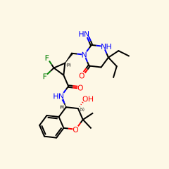 CCC1(CC)CC(=O)N(C[C@H]2C(C(=O)N[C@@H]3c4ccccc4OC(C)(C)[C@H]3O)C2(F)F)C(=N)N1